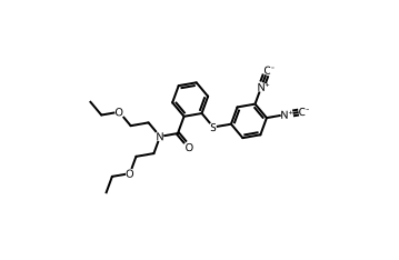 [C-]#[N+]c1ccc(Sc2ccccc2C(=O)N(CCOCC)CCOCC)cc1[N+]#[C-]